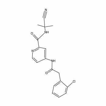 CC(C)(C#N)NC(=O)c1cc(NC(=O)Cc2ccccc2Cl)ccn1